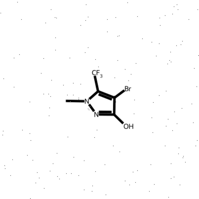 Cn1nc(O)c(Br)c1C(F)(F)F